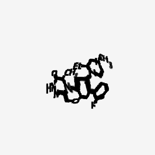 CC[C@H]1CN(C)CCN1c1cc2c(cc1-c1ccccc1F)OCC1=NNC(=O)[C@@H](C)N12